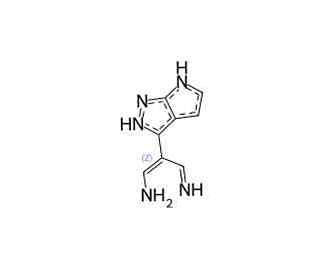 N=C/C(=C\N)c1[nH]nc2[nH]ccc12